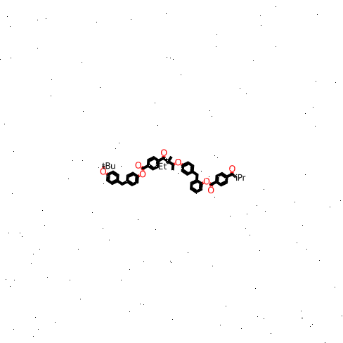 CCC(C)(C(=O)c1ccc(C(=O)Oc2ccc(Cc3ccc(OC(C)(C)C)cc3)cc2)cc1)C(C)Oc1ccc(Cc2ccccc2OC(=O)c2ccc(C(=O)C(C)C)cc2)cc1